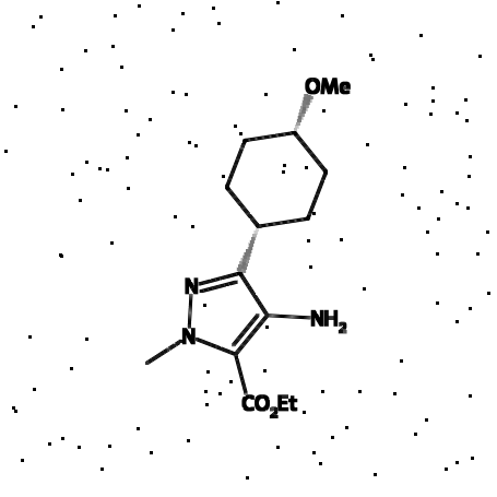 CCOC(=O)c1c(N)c([C@H]2CC[C@@H](OC)CC2)nn1C